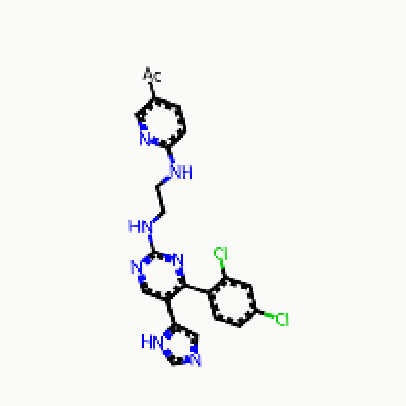 CC(=O)c1ccc(NCCNc2ncc(-c3cnc[nH]3)c(-c3ccc(Cl)cc3Cl)n2)nc1